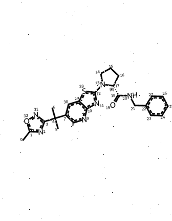 Cc1nc(C(C)(C)c2cnc3nc(N4CCC[C@@H]4C(=O)NCc4ccccc4)sc3c2)no1